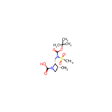 C[C@@H]1CN(C(=O)O)[C@@H]1CN(C(=O)OC(C)(C)C)S(C)(=O)=O